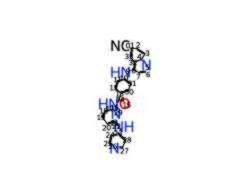 N#Cc1ccc2nccc(Nc3ccc(C(=O)Nc4cccc(Nc5ccncc5)n4)cc3)c2c1